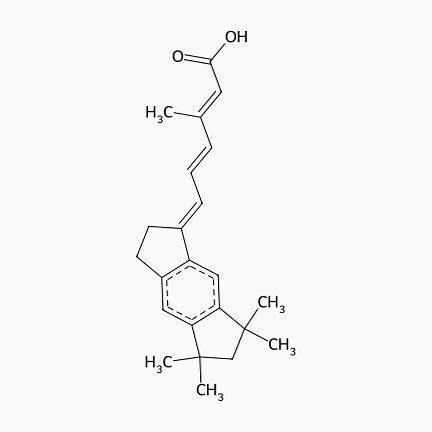 CC(/C=C/C=C1\CCc2cc3c(cc21)C(C)(C)CC3(C)C)=C\C(=O)O